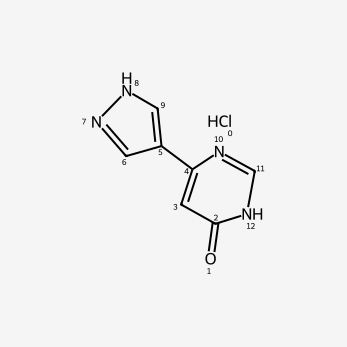 Cl.O=c1cc(-c2cn[nH]c2)nc[nH]1